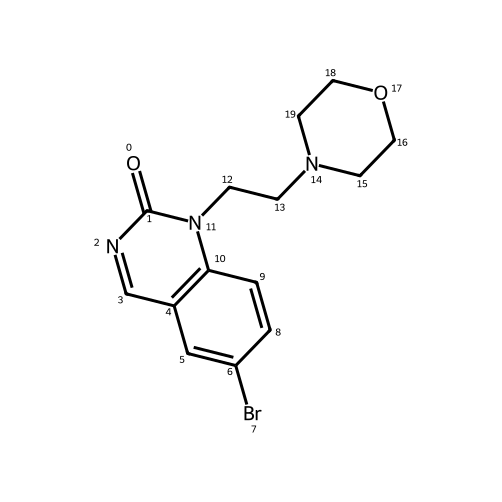 O=c1ncc2cc(Br)ccc2n1CCN1CCOCC1